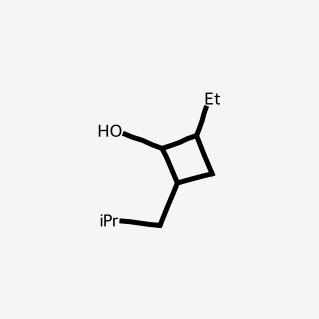 CCC1CC(CC(C)C)C1O